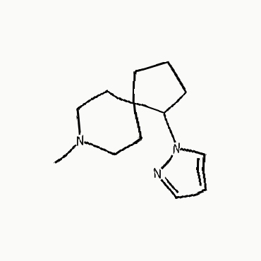 CN1CCC2(CCCC2n2cccn2)CC1